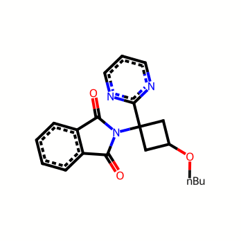 CCCCOC1CC(c2ncccn2)(N2C(=O)c3ccccc3C2=O)C1